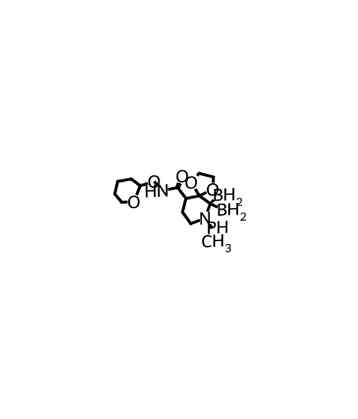 BC1(B)N(PC)CCC(C(=O)NOC2CCCCO2)C12OCCO2